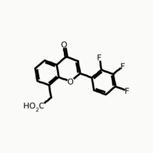 O=C(O)Cc1cccc2c(=O)cc(-c3ccc(F)c(F)c3F)oc12